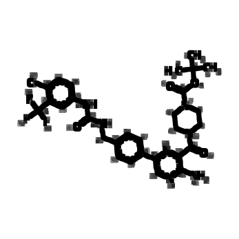 CC(C)(C)OC(=O)N1CCN(C(=O)c2nc(-c3ccc(CNC(=O)Nc4ccc(Cl)c(C(F)(F)F)c4)cc3)cnc2N)CC1